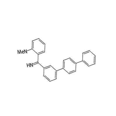 CNc1ccccc1C(=N)c1cccc(-c2ccc(-c3ccccc3)cc2)c1